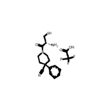 N#CC1(c2ccccc2)CCN(C(=O)[C@@H](N)CS)CC1.O=C(O)C(F)(F)F